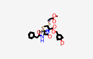 COC(=O)/C=C\SC1=C(C(=O)OCc2ccc(OC)cc2)N2C(=O)[C@@H](NC(=O)Cc3ccccc3)[C@@H]2SC1